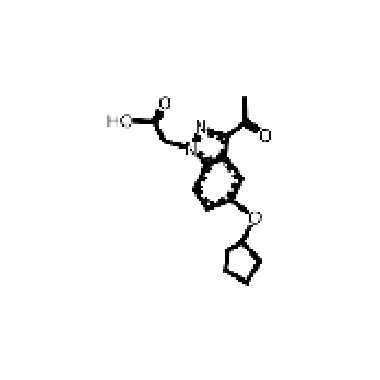 CC(=O)c1nn(CC(=O)O)c2ccc(OC3CCCC3)cc12